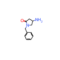 NC1CC(=O)N(Cc2ccccc2)C1